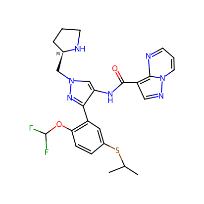 CC(C)Sc1ccc(OC(F)F)c(-c2nn(C[C@H]3CCCN3)cc2NC(=O)c2cnn3cccnc23)c1